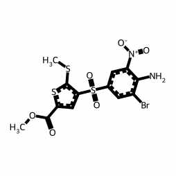 COC(=O)c1cc(S(=O)(=O)c2cc(Br)c(N)c([N+](=O)[O-])c2)c(SC)s1